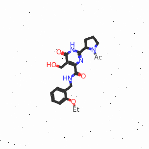 CCOc1ccccc1CNC(=O)c1nc(C2CCCN2C(C)=O)[nH]c(=O)c1CO